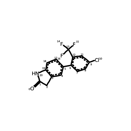 O=C1Cc2cc(-c3ccc(Cl)cc3C(F)(F)F)ccc2N1